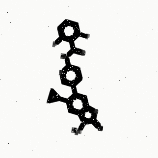 Cn1c(=O)oc2cc(-c3ccc(NC(=O)c4c(F)cccc4F)nc3)c(C3CC3)cc21